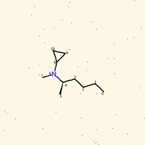 CCCC[C@@H](C)N(C)C1CC1